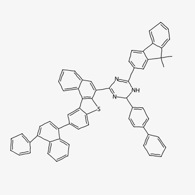 CC1(C)c2ccccc2-c2ccc(C3=NC(c4cc5ccccc5c5c4sc4ccc(-c6ccc(-c7ccccc7)c7ccccc67)cc45)=NC(c4ccc(-c5ccccc5)cc4)N3)cc21